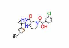 CC(C)c1csc(C2(c3nc4c(c(=O)[nH]3)CN(C(=O)C(O)c3cccc(Cl)c3)CCC4)CC2)c1